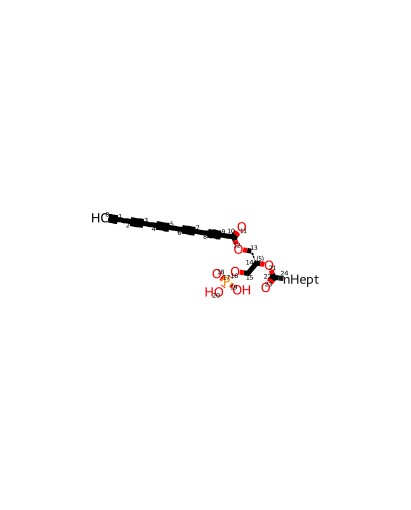 C#CC#CC#CC#CC#CC(=O)OC[C@@H](COP(=O)(O)O)OC(=O)CCCCCCC